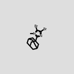 Cn1c(C23CC4CC(CC(C4)C2)C3)nc(Br)c1Br